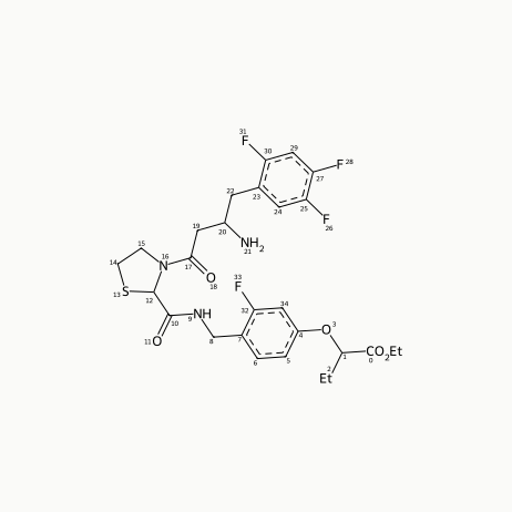 CCOC(=O)C(CC)Oc1ccc(CNC(=O)C2SCCN2C(=O)CC(N)Cc2cc(F)c(F)cc2F)c(F)c1